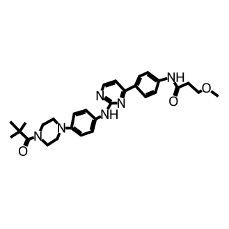 COCCC(=O)Nc1ccc(-c2ccnc(Nc3ccc(N4CCN(C(=O)C(C)(C)C)CC4)cc3)n2)cc1